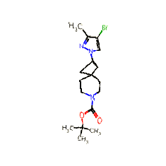 Cc1nn(C2CC3(CCN(C(=O)OC(C)(C)C)CC3)C2)cc1Br